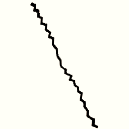 C=CC=CCCCCCCCCCCCCCCCCCCCCCCCCCCCCCC